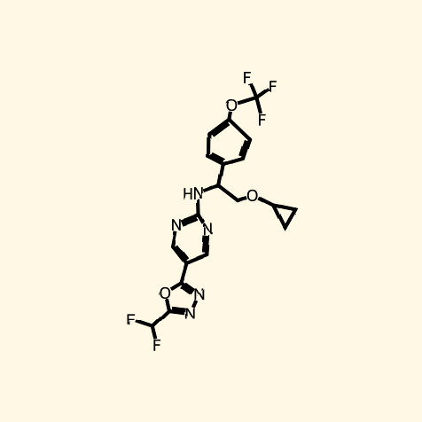 FC(F)c1nnc(-c2cnc(NC(COC3CC3)c3ccc(OC(F)(F)F)cc3)nc2)o1